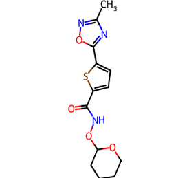 Cc1noc(-c2ccc(C(=O)NOC3CCCCO3)s2)n1